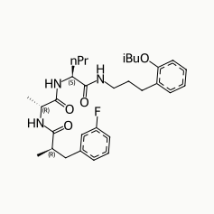 CCC[C@H](NC(=O)[C@@H](C)NC(=O)[C@H](C)Cc1cccc(F)c1)C(=O)NCCCc1ccccc1OCC(C)C